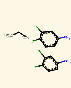 Nc1ccc(Cl)c(Cl)c1.Nc1ccc(Cl)c(Cl)c1.O=C(O)CC(=O)O